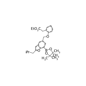 CCOC(=O)Cc1ccccc1OCc1cc(B2OC(C)(C)C(C)(C)O2)c2oc(CC(C)C)cc2c1